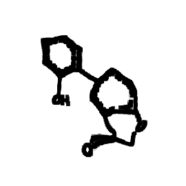 O=C1COc2ccc(-c3ccccc3O)cc21